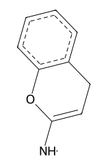 [NH]C1=CCc2ccccc2O1